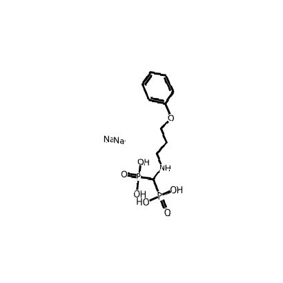 O=P(O)(O)C(NCCCOc1ccccc1)P(=O)(O)O.[Na].[Na]